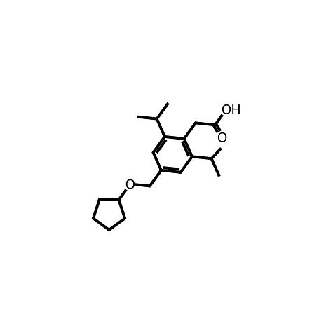 CC(C)c1cc(COC2CCCC2)cc(C(C)C)c1CC(=O)O